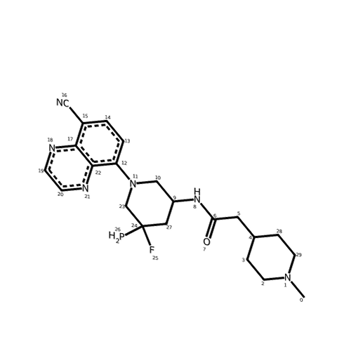 CN1CCC(CC(=O)NC2CN(c3ccc(C#N)c4nccnc34)CC(F)(P)C2)CC1